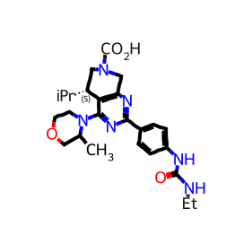 CCNC(=O)Nc1ccc(-c2nc3c(c(N4CCOCC4C)n2)[C@H](C(C)C)CN(C(=O)O)C3)cc1